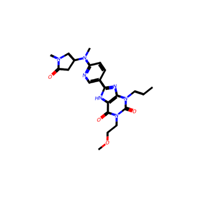 CCCn1c(=O)n(CCOC)c(=O)c2[nH]c(-c3ccc(N(C)C4CC(=O)N(C)C4)nc3)nc21